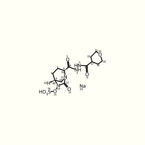 O=C(NNC(=O)[C@@H]1CC[C@@H]2CN1C(=O)N2OS(=O)(=O)O)C1CCOCC1.[Na]